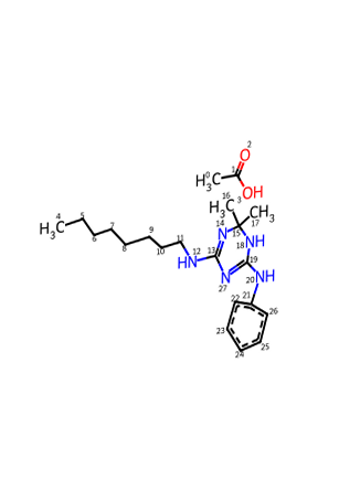 CC(=O)O.CCCCCCCCNC1=NC(C)(C)NC(Nc2ccccc2)=N1